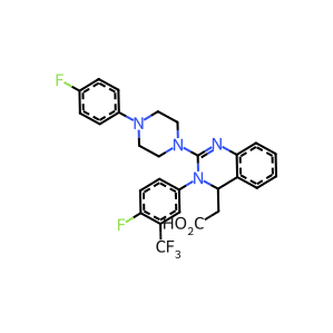 O=C(O)CC1c2ccccc2N=C(N2CCN(c3ccc(F)cc3)CC2)N1c1ccc(F)c(C(F)(F)F)c1